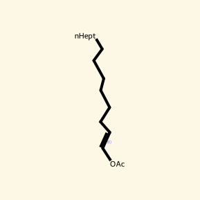 CCCCCCCCCCCCC/C=C/OC(C)=O